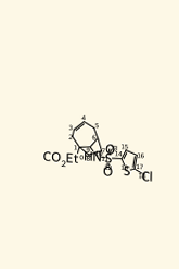 CCOC(=O)C12CC=CCC(CC1)C2NS(=O)(=O)c1ccc(Cl)s1